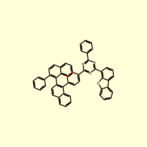 c1ccc(-c2nc(-c3ccc(-c4c(-c5c(-c6ccccc6)ccc6ccccc56)ccc5ccccc45)cc3)nc(-c3cccc4c3oc3ccccc34)n2)cc1